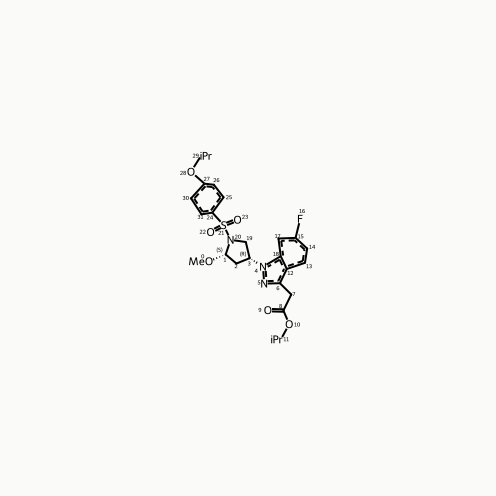 CO[C@H]1C[C@@H](n2nc(CC(=O)OC(C)C)c3ccc(F)cc32)CN1S(=O)(=O)c1ccc(OC(C)C)cc1